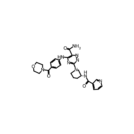 NC(=O)c1nnc(N2CCC[C@@H](NC(=O)c3cccnc3)C2)nc1Nc1ccc(C(=O)N2CCOCC2)cc1